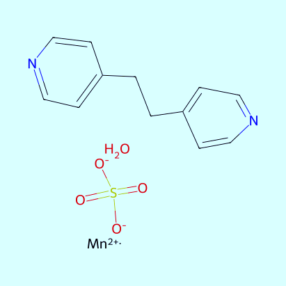 O.O=S(=O)([O-])[O-].[Mn+2].c1cc(CCc2ccncc2)ccn1